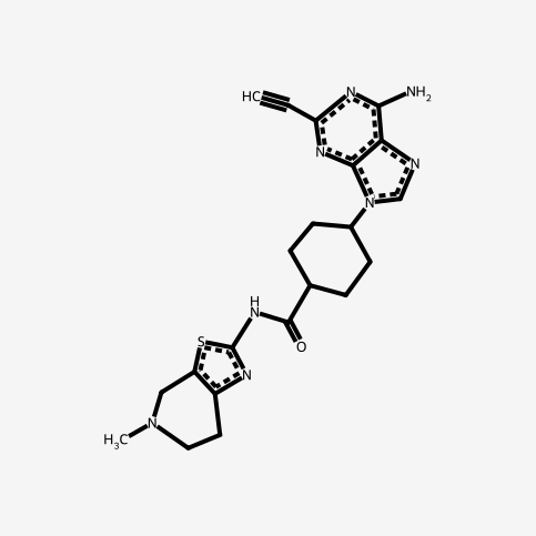 C#Cc1nc(N)c2ncn(C3CCC(C(=O)Nc4nc5c(s4)CN(C)CC5)CC3)c2n1